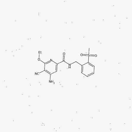 CCOc1nc(C(=O)NCc2ccccc2S(C)(=O)=O)cc(N)c1C#N